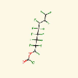 O=C(Cl)OC(F)C(F)(F)C(F)(F)C(F)(F)C(F)(F)C(F)C(F)C(F)F